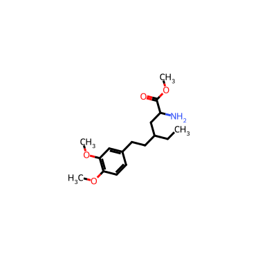 CCC(CCc1ccc(OC)c(OC)c1)CC(N)C(=O)OC